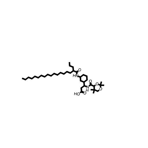 CCCCCCCCCCCCCCCCC(CCC)C(=O)NC1CCCC(C(CC(=O)O)NC(=O)C2OC(C)(C)OCC2(C)C)C1